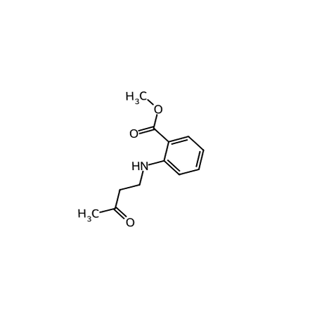 COC(=O)c1ccccc1NCCC(C)=O